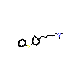 CN(C)CCCCCc1ccc(Sc2ccccc2)cc1